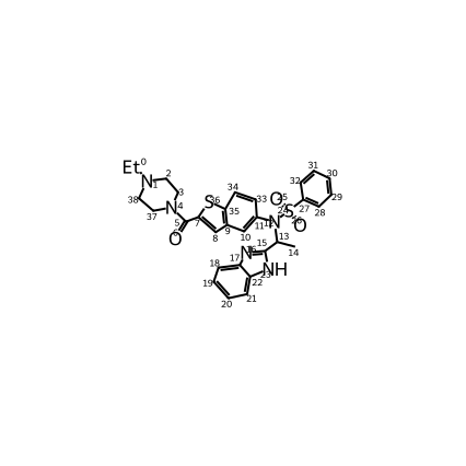 CCN1CCN(C(=O)c2cc3cc(N(C(C)c4nc5ccccc5[nH]4)S(=O)(=O)c4ccccc4)ccc3s2)CC1